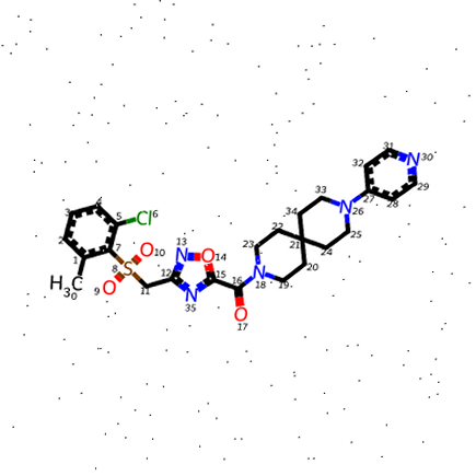 Cc1cccc(Cl)c1S(=O)(=O)Cc1noc(C(=O)N2CCC3(CC2)CCN(c2ccncc2)CC3)n1